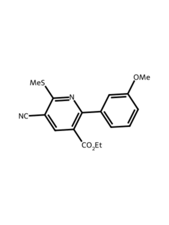 CCOC(=O)c1cc(C#N)c(SC)nc1-c1cccc(OC)c1